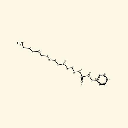 NCCCOCCOCCOCCCOC(=O)OCc1ccccc1